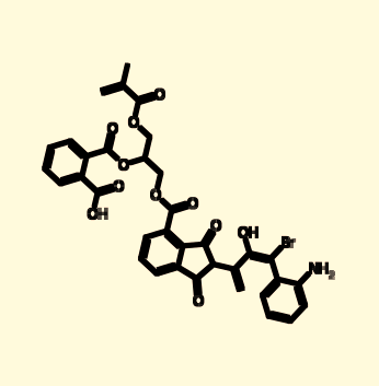 C=C(C)C(=O)OCC(COC(=O)c1cccc2c1C(=O)C(C(=C)/C(O)=C(/Br)c1ccccc1N)C2=O)OC(=O)c1ccccc1C(=O)O